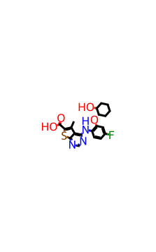 Cc1c(C(=O)O)sc2ncnc(Nc3ccc(F)cc3O[C@@H]3CCCCC3O)c12